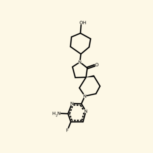 Nc1nc(N2CCC[C@]3(CCN(C4CCC(O)CC4)C3=O)C2)ncc1F